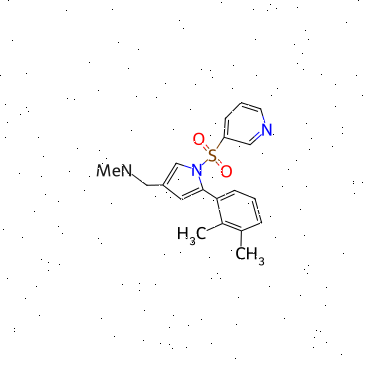 CNCc1cc(-c2cccc(C)c2C)n(S(=O)(=O)c2cccnc2)c1